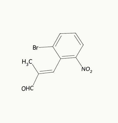 C/C(C=O)=C\c1c(Br)cccc1[N+](=O)[O-]